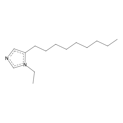 CCCCCCCCCc1cncn1CC